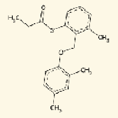 CCC(=O)Sc1cccc(C)c1COc1ccc(C)cc1C